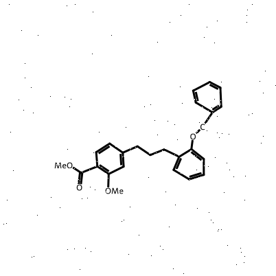 COC(=O)c1ccc(CCCc2ccccc2OCc2ccccc2)cc1OC